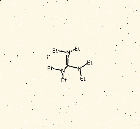 CCN(CC)C(N(CC)CC)=[N+](CC)CC.[I-]